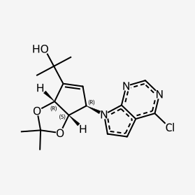 CC1(C)O[C@@H]2[C@H](O1)C(C(C)(C)O)=C[C@H]2n1ccc2c(Cl)ncnc21